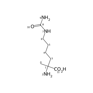 CC(N)(CCCCNC(N)=O)C(=O)O